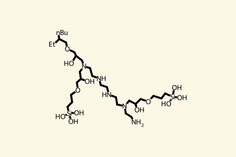 CCCCC(CC)COCC(O)CN(CCNCCNCCN(CCN)CC(O)COCCC[Si](O)(O)O)CC(O)COCCC[Si](O)(O)O